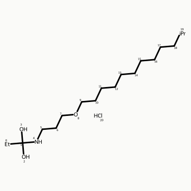 CCC(O)(O)NCCCOCCCCCCCCCCC(C)C.Cl